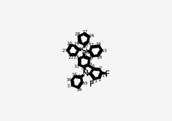 Fc1cc(F)c2c(c1)c1cc([Si](c3ccccc3)(c3ccccc3)c3ccccc3)ccc1n2-c1ccccc1